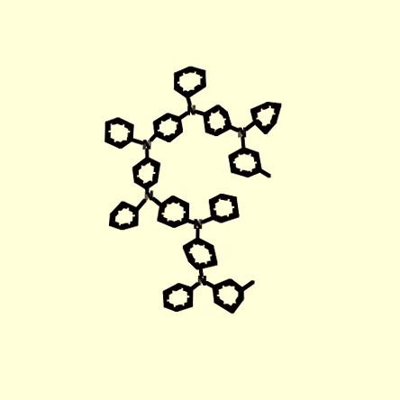 Cc1cccc(N(c2ccccc2)c2ccc(N(c3ccccc3)c3ccc(N(c4ccccc4)c4ccc(N(c5ccccc5)c5ccc(N(c6ccccc6)c6ccc(N(c7ccccc7)c7cccc(C)c7)cc6)cc5)cc4)cc3)cc2)c1